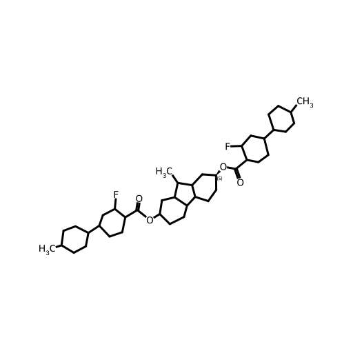 CC1CCC(C2CCC(C(=O)OC3CCC4C(C3)C(C)C3C[C@@H](OC(=O)C5CCC(C6CCC(C)CC6)CC5F)CCC34)C(F)C2)CC1